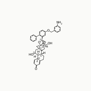 C[C@]12C=CC(=O)C=C1CC[C@@H]1[C@@H]2[C@@H](O)C[C@@]2(C)[C@H]1C[C@H]1O[C@H](c3cc(OCc4cccc(N)c4)ccc3-c3ccccc3)O[C@]12C(=O)CO